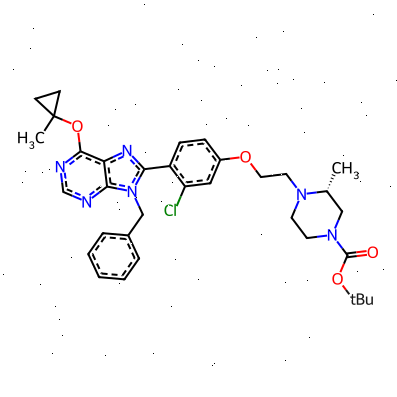 C[C@@H]1CN(C(=O)OC(C)(C)C)CCN1CCOc1ccc(-c2nc3c(OC4(C)CC4)ncnc3n2Cc2ccccc2)c(Cl)c1